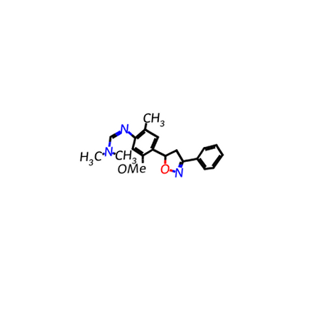 COc1cc(/N=C\N(C)C)c(C)cc1C1CC(c2ccccc2)=NO1